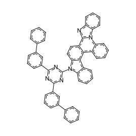 c1ccc(-c2cccc(-c3nc(-c4cccc(-c5ccccc5)c4)nc(-n4c5ccccc5c5c6c7ccccc7n7c8ccccc8nc7c6ccc54)n3)c2)cc1